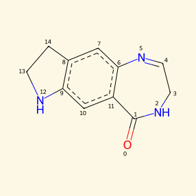 O=C1NCC=Nc2cc3c(cc21)NCC3